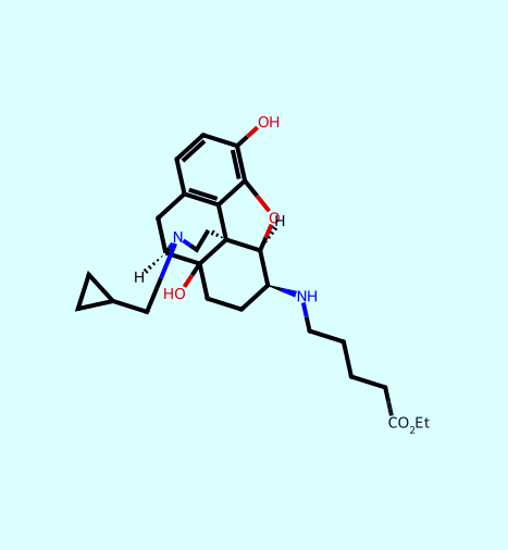 CCOC(=O)CCCCN[C@H]1CCC2(O)[C@H]3Cc4ccc(O)c5c4[C@@]2(CCN3CC2CC2)[C@H]1O5